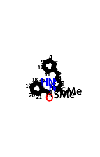 CSC1(SC)CC(Cc2ccccc2)NN1C(=O)c1ccccc1